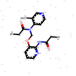 COc1cnccc1N(COc1cccnc1NC(=O)CC(C)C)C(=O)CC(C)C